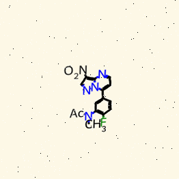 CC(=O)N(C)c1cc(-c2ccnc3c([N+](=O)[O-])cnn23)ccc1F